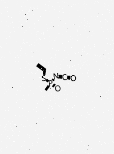 C=CSP(C)(=O)N=C=O